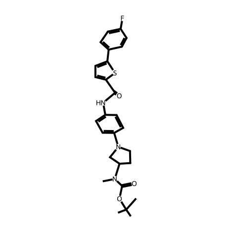 CN(C(=O)OC(C)(C)C)C1CCN(c2ccc(NC(=O)c3ccc(-c4ccc(F)cc4)s3)cc2)C1